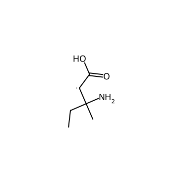 CCC(C)(N)[CH]C(=O)O